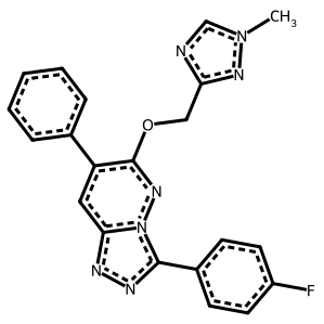 Cn1cnc(COc2nn3c(-c4ccc(F)cc4)nnc3cc2-c2ccccc2)n1